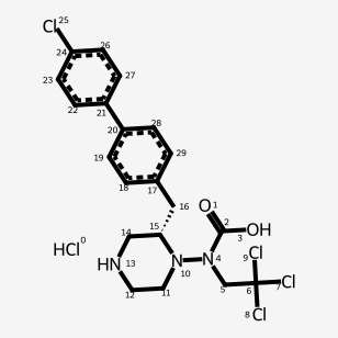 Cl.O=C(O)N(CC(Cl)(Cl)Cl)N1CCNC[C@@H]1Cc1ccc(-c2ccc(Cl)cc2)cc1